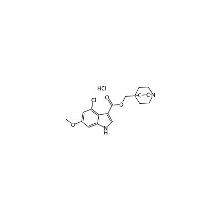 COc1cc(Cl)c2c(C(=O)OCC34CCN(CC3)CC4)c[nH]c2c1.Cl